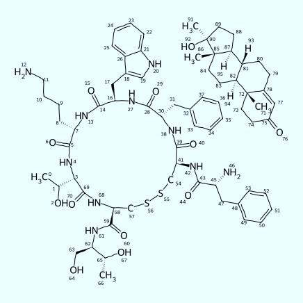 CC(O)[C@@H]1NC(=O)[C@H](CCCCN)NC(=O)[C@@H](Cc2c[nH]c3ccccc23)NC(=O)[C@H](Cc2ccccc2)NC(=O)[C@@H](NC(=O)[C@H](N)Cc2ccccc2)CSSC[C@@H](C(=O)N[C@H](CO)[C@@H](C)O)NC1=O.C[C@]12CCC(=O)C=C1CC[C@@H]1[C@@H]2CC[C@@]2(C)[C@H]1CC[C@]2(C)O